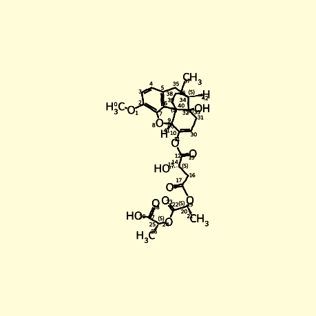 COc1ccc2c3c1O[C@H]1C(OC(=O)[C@@H](O)CC(=O)O[C@@H](C)C(=O)O[C@@H](C)C(=O)O)=CC[C@@]4(O)[C@@H](C2)C(C)CC[C@]314